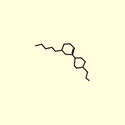 CCCCCC1CCC=C(C2CCC(CCC)CC2)C1